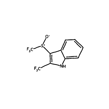 [O-][S+](c1c(C(F)(F)F)[nH]c2ccccc12)C(F)(F)F